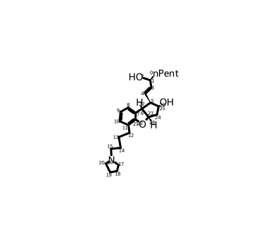 CCCCC[C@H](O)/C=C/[C@@H]1[C@H]2c3cccc(CCCCN4CCCC4)c3O[C@H]2C[C@H]1O